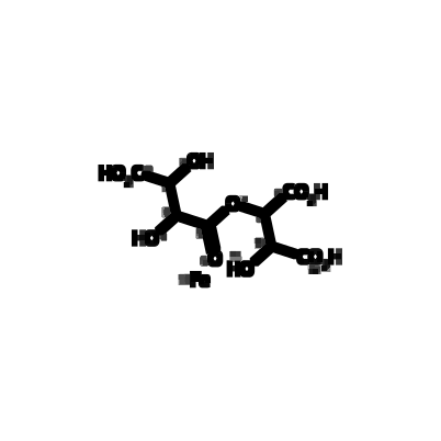 O=C(O)C(O)C(O)C(=O)OC(C(=O)O)C(O)C(=O)O.[Fe]